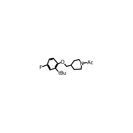 CC(=O)N1CCC(COc2ccc(F)cc2C(C)(C)C)CC1